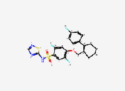 O=S(=O)(Nc1ncns1)c1cc(F)c(OC[C@@H]2CCCCC2c2ccc(F)cc2)cc1F